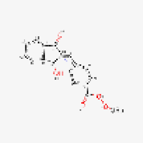 CC(C)(C)OOC(=O)c1ccc(/C=C2/C(=O)c3ccccc3C2O)cc1